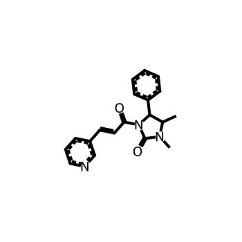 CC1C(c2ccccc2)N(C(=O)C=Cc2cccnc2)C(=O)N1C